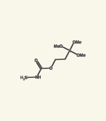 CO[Si](CCOC(=O)N[SiH3])(OC)OC